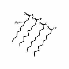 CCCCCCCCCC(=O)[O-].CCCCCCCCCC(=O)[O-].CCCCCCCCCC(=O)[O-].CCCCCCCCCC(=O)[O-].[Mn+4]